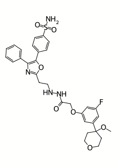 COC1(c2cc(F)cc(OCC(=O)NNCCc3nc(-c4ccccc4)c(-c4ccc(S(N)(=O)=O)cc4)o3)c2)CCOCC1